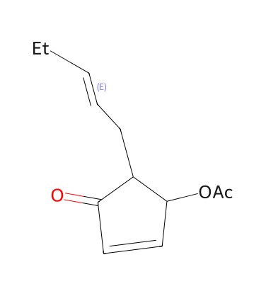 CC/C=C/CC1C(=O)C=CC1OC(C)=O